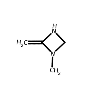 C=C1NCN1C